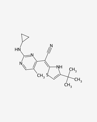 Cc1cnc(NC2CC2)nc1C(C#N)=C1NC(C(C)(C)C)=CS1